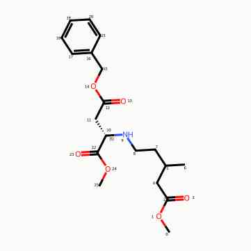 COC(=O)CC(C)CCN[C@@H](CC(=O)OCc1ccccc1)C(=O)OC